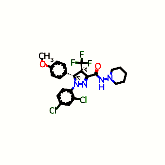 COc1ccc([C@@H]2[C@@H](C(F)(F)F)C(C(=O)NN3CCCCC3)=NN2c2ccc(Cl)cc2Cl)cc1